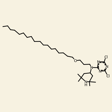 CCCCCCCCCCCCCCCCCCOCCCN(c1nc(Cl)nc(Cl)n1)C1CC(C)(C)NC(C)(C)C1